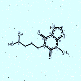 Cn1c(=O)n(CCCC(O)O)c(=O)c2[nH]cnc21